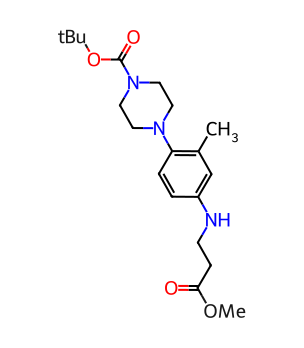 COC(=O)CCNc1ccc(N2CCN(C(=O)OC(C)(C)C)CC2)c(C)c1